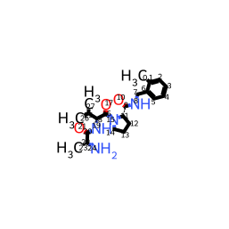 Cc1ccccc1CNC(=O)[C@@H]1CCCN1C(=O)[C@@H](NC(=O)[C@H](C)N)C(C)C